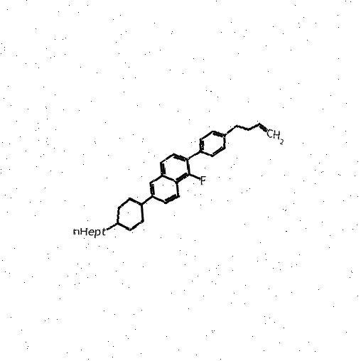 C=CCCc1ccc(-c2ccc3cc(C4CCC(CCCCCCC)CC4)ccc3c2F)cc1